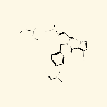 CN(C)/C=C/c1nn2ccc(Cl)c2c(=O)n1Cc1ccccc1.CN(C)C=O.COC(C)OC